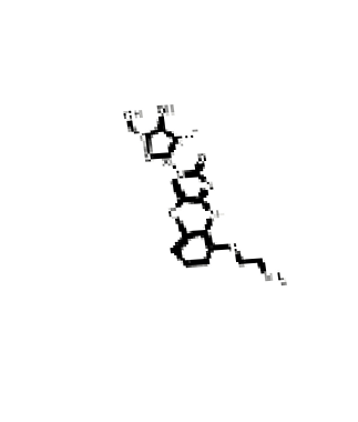 NCCOc1cccc2c1Nc1nc(=O)n([C@@H]3O[C@H](CO)C(O)[C@@H]3F)cc1O2